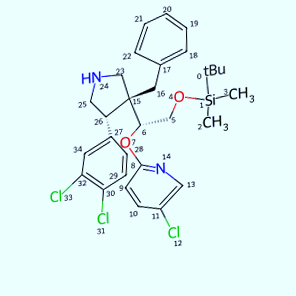 CC(C)(C)[Si](C)(C)OC[C@H](Oc1ccc(Cl)cn1)[C@@]1(Cc2ccccc2)CNC[C@H]1c1ccc(Cl)c(Cl)c1